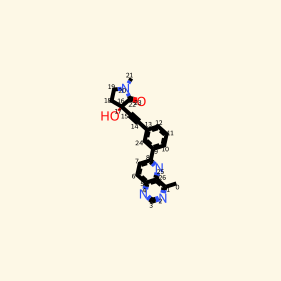 Cc1ncnc2ccc(-c3cccc(C#C[C@]4(O)CCN(C)C4=O)c3)nc12